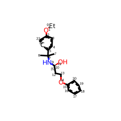 CCOc1ccc(C(C)(C)N[C@@H](O)CCOc2ccccc2)cc1